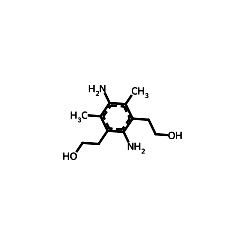 Cc1c(N)c(C)c(CCO)c(N)c1CCO